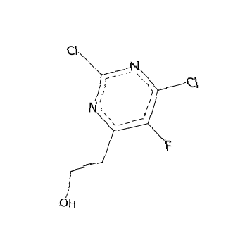 OCCc1nc(Cl)nc(Cl)c1F